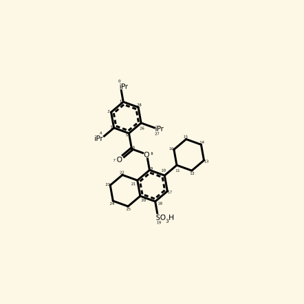 CC(C)c1cc(C(C)C)c(C(=O)Oc2c(C3CCCCC3)cc(S(=O)(=O)O)c3c2CCCC3)c(C(C)C)c1